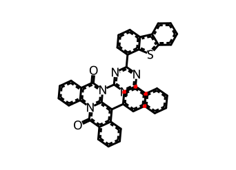 O=c1c2ccccc2n2c(=O)c3ccccc3c(-c3ccccc3)c2n1-c1nc(-c2ccccc2)nc(-c2cccc3c2sc2ccccc23)n1